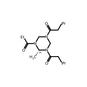 CCC(=O)N1CN(C(=O)CC(C)C)CN(C(=O)CC(C)C)[C@@H]1C